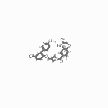 Cc1ccc(-c2cc(Cl)ccc2OCC2CN(C(=O)c3cc4c(cc3F)OCC(=O)N4)C2)cn1